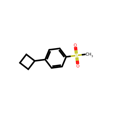 CS(=O)(=O)c1ccc(C2CCC2)cc1